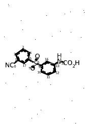 N#Cc1cccc(S(=O)(=O)c2cccc(NC(=O)O)c2)c1